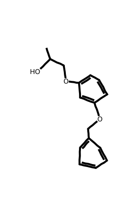 CC(O)COc1cccc(OCc2ccccc2)c1